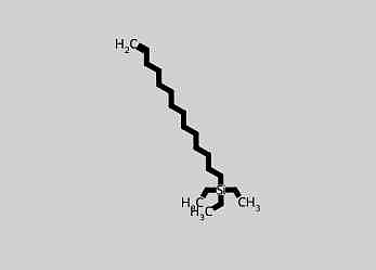 C=CCCCCCCCCCCCC[Si](CC)(CC)CC